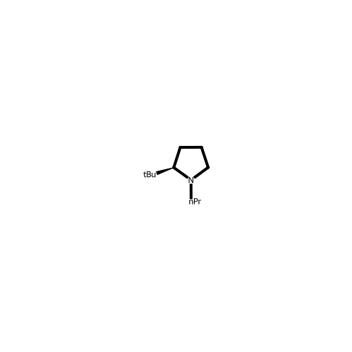 CCCN1CCC[C@@H]1C(C)(C)C